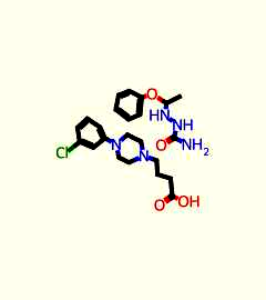 CC(NNC(N)=O)Oc1ccccc1.O=C(O)CCCN1CCN(c2cccc(Cl)c2)CC1